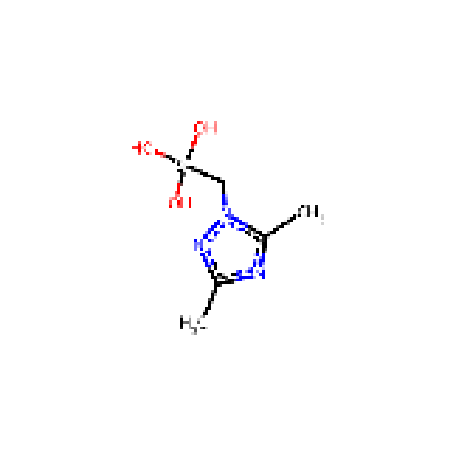 Cc1nc(C)n(C[Si](O)(O)O)n1